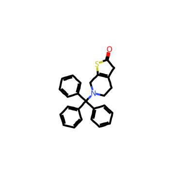 O=C1CC2=C(CN(C(c3ccccc3)(c3ccccc3)c3ccccc3)CC2)S1